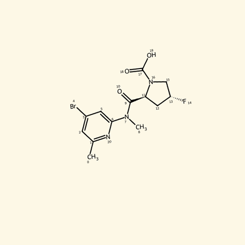 Cc1cc(Br)cc(N(C)C(=O)[C@@H]2C[C@@H](F)CN2C(=O)O)n1